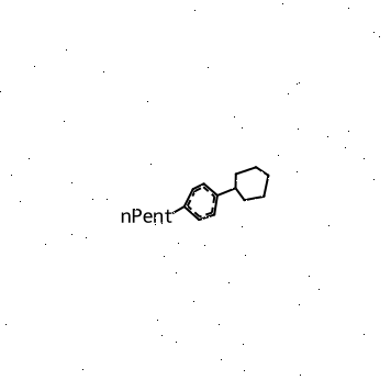 CCCCCc1ccc(C2CCCCC2)cc1